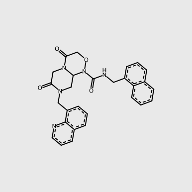 O=C1CN2C(=O)CON(C(=O)NCc3cccc4ccccc34)C2CN1Cc1cccc2cccnc12